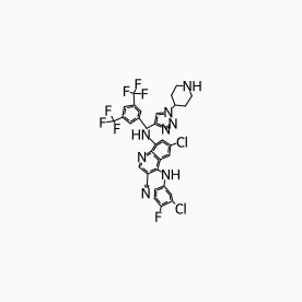 N#Cc1cnc2c(NC(c3cc(C(F)(F)F)cc(C(F)(F)F)c3)c3cn(C4CCNCC4)nn3)cc(Cl)cc2c1Nc1ccc(F)c(Cl)c1